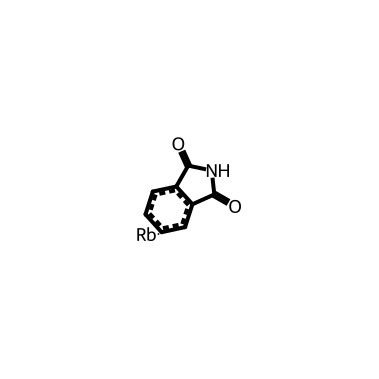 O=C1NC(=O)c2ccccc21.[Rb]